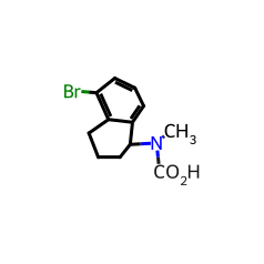 CN(C(=O)O)C1CCCc2c(Br)cccc21